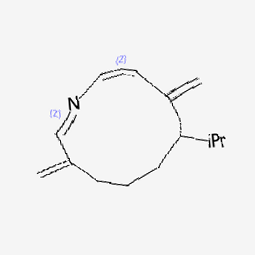 C=C1/C=N\C=C/C(=C)C(C(C)C)CCC1